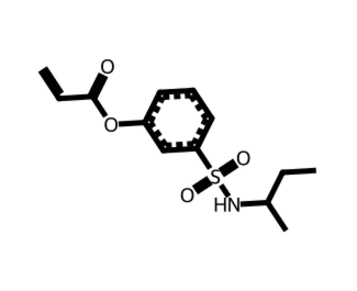 C=CC(=O)Oc1cccc(S(=O)(=O)NC(C)CC)c1